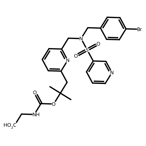 CC(C)(Cc1cccc(CN(Cc2ccc(Br)cc2)S(=O)(=O)c2cccnc2)n1)OC(=O)NCC(=O)O